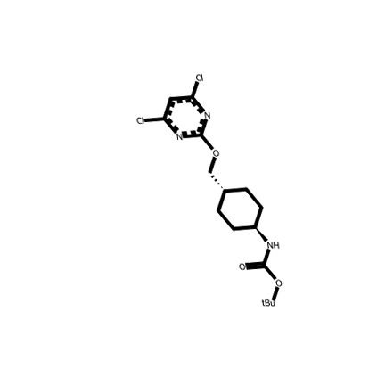 CC(C)(C)OC(=O)N[C@H]1CC[C@H](COc2nc(Cl)cc(Cl)n2)CC1